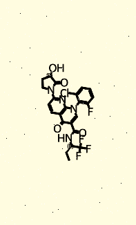 CC[C@@H](NC(=O)c1cn(-c2c(F)cccc2Cl)c2nc(N3CC[C@@H](O)C3=O)ccc2c1=O)C(F)(F)F